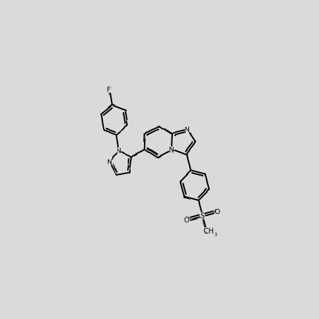 CS(=O)(=O)c1ccc(-c2cnc3ccc(-c4ccnn4-c4ccc(F)cc4)cn23)cc1